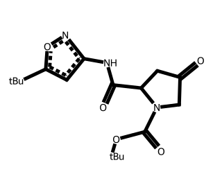 CC(C)(C)OC(=O)N1CC(=O)CC1C(=O)Nc1cc(C(C)(C)C)on1